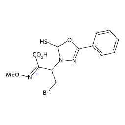 CO/N=C(\C(=O)O)C(CBr)N1N=C(c2ccccc2)OC1S